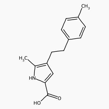 Cc1ccc(CCc2cc(C(=O)O)[nH]c2C)cc1